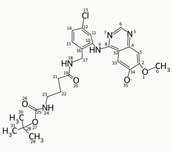 COc1cc2ncnc(Nc3cc(Cl)ccc3CNC(=O)CCCNC(=O)OC(C)(C)C)c2cc1[O]